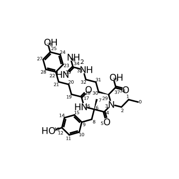 CCCN(C(=O)[C@](C)(Cc1ccc(O)cc1)NC(=O)CCCc1ccc(O)cc1)[C@@H](CCCNC(=N)N)C(=O)O